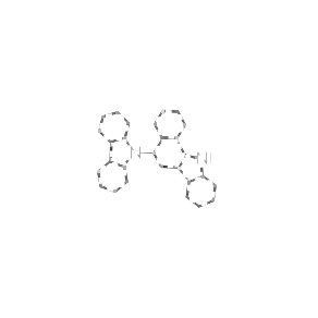 c1ccc2c(c1)[nH]c1c3ccccc3c(-n3c4ccccc4c4ccccc43)cc21